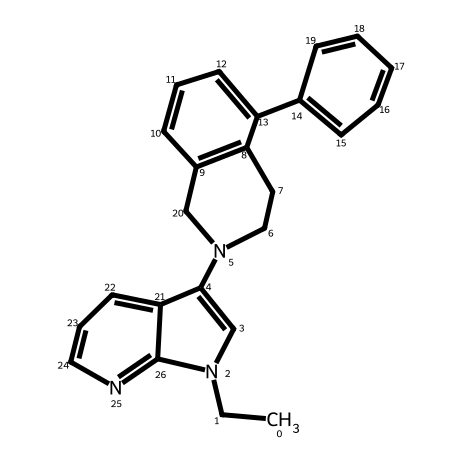 CCn1cc(N2CCc3c(cccc3-c3ccccc3)C2)c2cccnc21